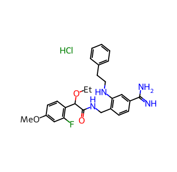 CCOC(C(=O)NCc1ccc(C(=N)N)cc1NCCc1ccccc1)c1ccc(OC)cc1F.Cl